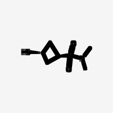 CN(C)S(=O)(=O)[C@H]1C[C@H](S)C1